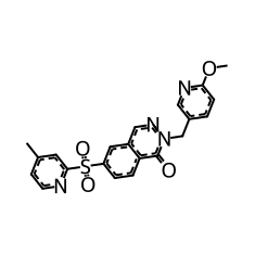 COc1ccc(Cn2ncc3cc(S(=O)(=O)c4cc(C)ccn4)ccc3c2=O)cn1